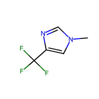 Cn1cnc(C(F)(F)F)c1